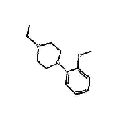 CCN1CCN(c2c[c]ccc2OC)CC1